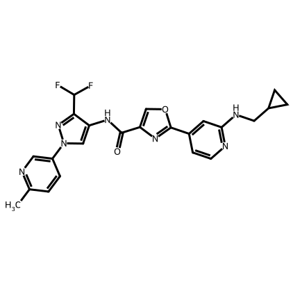 Cc1ccc(-n2cc(NC(=O)c3coc(-c4ccnc(NCC5CC5)c4)n3)c(C(F)F)n2)cn1